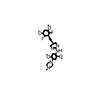 COc1cc(N2CCN(C)CC2)c(OC)cc1Nc1ncc(C#Cc2c(F)c(OC)cc(OC)c2F)cn1